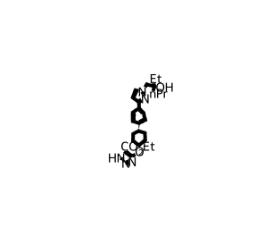 CCCC(O)(CC)Cn1ccc(-c2ccc([C@H]3CC[C@H](Oc4nn[nH]c4C(=O)OCC)CC3)cc2)n1